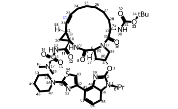 CC(C)N1C(O[C@@H]2C[C@H]3C(=O)N[C@]4(C(=O)NS(=O)(=O)N(C)C)C[C@H]4/C=C\CCCCC[C@H](NC(=O)OC(C)(C)C)C(=O)N3C2)=NC2=C(c3csc(N4CCCCC4)n3)C=CCC21